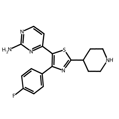 Nc1nccc(-c2sc(C3CCNCC3)nc2-c2ccc(F)cc2)n1